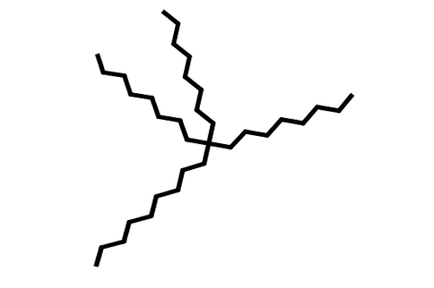 CCCCCCCCCC(CCCCCCCC)(CCCCCCCC)CCCCCCCC